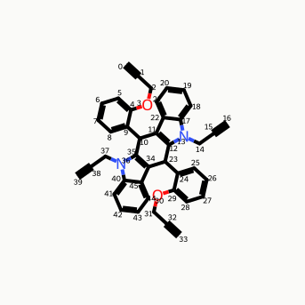 C#CCOc1ccccc1C1c2c(n(CC#C)c3ccccc23)C(c2ccccc2OCC#C)c2c1n(CC#C)c1ccccc21